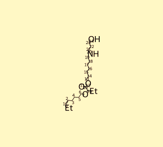 CC/C=C\CCCCOC(CC)C(=O)OCCCCCCCNCCCO